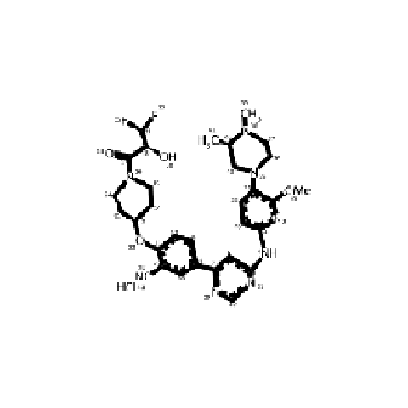 COc1nc(Nc2cc(-c3ccc(OC4CCN(C(=O)[C@H](O)C(F)F)CC4)c(C#N)c3)ncn2)ccc1N1CCN(C)[C@H](C)C1.Cl